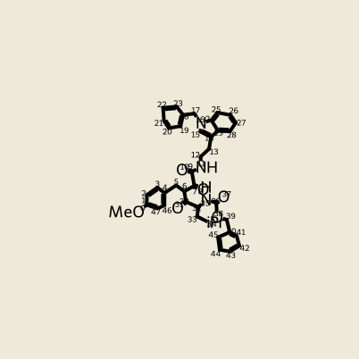 COc1ccc(CC(C(=O)C(=O)NCCc2cn(Cc3ccccc3)c3ccccc23)C(=O)C(CC(C)C)NC(=O)OCc2ccccc2)cc1